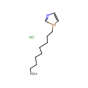 CCCCCCCCCCCCCCCC[SH]1C=CN=C1.Cl